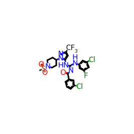 CS(=O)(=O)N1CCC(n2nc(C(F)(F)F)cc2N/C(=N\C(=O)c2cccc(Cl)c2)Nc2cc(F)cc(Cl)c2)CC1